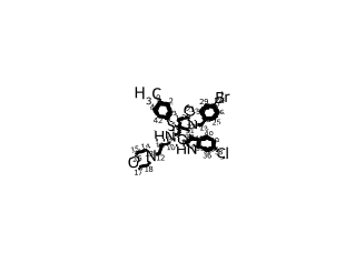 Cc1ccc(S[C@@]2(C(=O)NCCCN3CCOCC3)CC(=O)N(Cc3ccc(Br)cc3)[C@@H]2c2c[nH]c3cc(Cl)ccc23)cc1